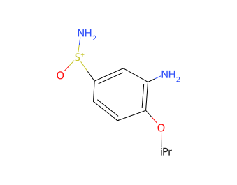 CC(C)Oc1ccc([S+](N)[O-])cc1N